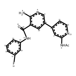 CC(=O)Nc1cc(-c2cnc(N)c(C(=O)Nc3cccc(F)c3)c2)ccn1